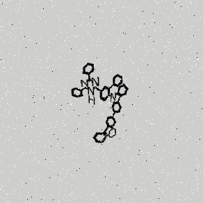 c1ccc(C2=NC(c3ccccc3)NC(c3ccc(-n4c5ccccc5c5ccc(-c6ccc7c(c6)oc6ccccc67)cc54)c(-c4ccccc4)c3)=N2)cc1